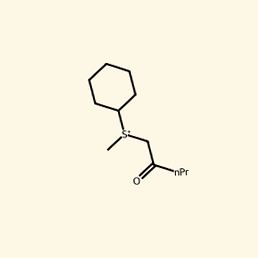 CCCC(=O)C[S+](C)C1CCCCC1